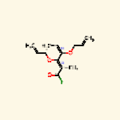 C=CCOC(=C(/C)C(=O)F)/C(=C\C)OCC=C